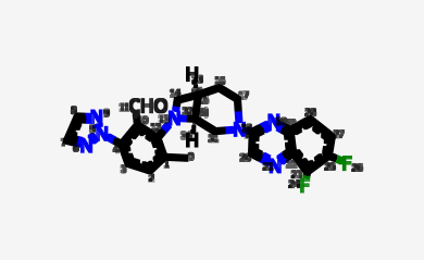 Cc1ccc(-n2nccn2)c(C=O)c1N1C[C@H]2CCN(c3cnc4c(F)c(F)ccc4n3)C[C@H]21